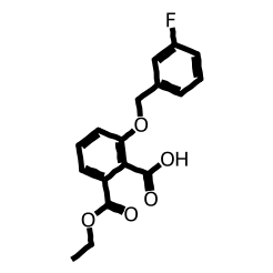 CCOC(=O)c1cccc(OCc2cccc(F)c2)c1C(=O)O